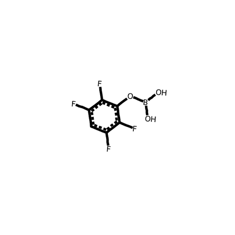 OB(O)Oc1c(F)c(F)cc(F)c1F